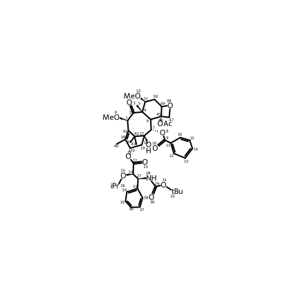 CO[C@H]1C(=O)[C@@]2(C)C([C@H](OC(=O)c3ccccc3)[C@]3(O)C[C@H](OC(=O)[C@H](OC(C)C)[C@@H](NC(=O)OC(C)(C)C)c4ccccc4)C(C)=C1C3(C)C)[C@]1(OC(C)=O)COC1C[C@@H]2OC